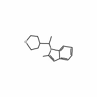 Cc1cc2ccccc2n1C(C)C1CCOCC1